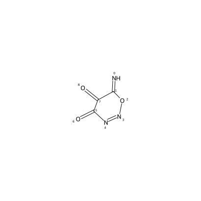 N=C1ON=NC(=O)C1=O